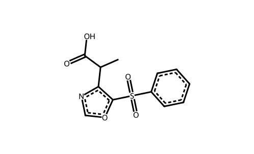 CC(C(=O)O)c1ncoc1S(=O)(=O)c1ccccc1